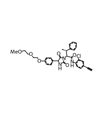 C#Cc1ccc(NC(=O)[C@H]([C@@H](C)c2ccccc2)N2C(=O)NC(c3ccc(OCCOCCOC)cc3)C2=O)c(Cl)c1